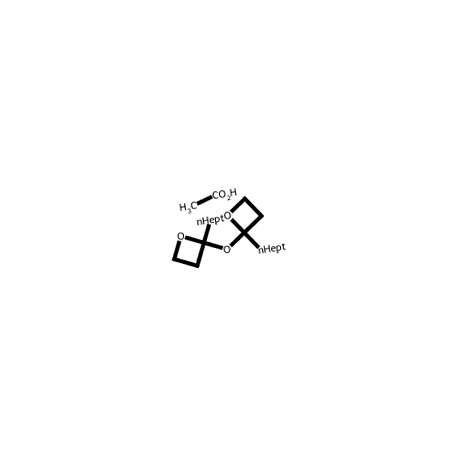 CC(=O)O.CCCCCCCC1(OC2(CCCCCCC)CCO2)CCO1